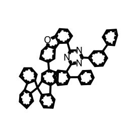 c1ccc(-c2cccc(-c3nc(-c4ccccc4-c4ccccc4)nc(-c4cccc5oc6ccc(-c7ccc8c(c7)C7(c9ccccc9-c9ccccc97)c7ccccc7-8)cc6c45)n3)c2)cc1